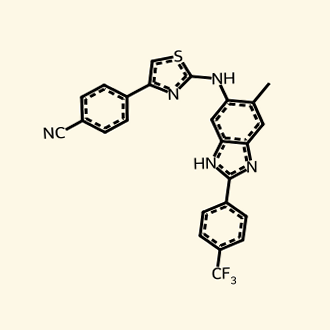 Cc1cc2nc(-c3ccc(C(F)(F)F)cc3)[nH]c2cc1Nc1nc(-c2ccc(C#N)cc2)cs1